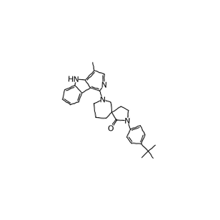 Cc1cnc(N2CCCC3(CCN(c4ccc(C(C)(C)C)cc4)C3=O)C2)c2c1[nH]c1ccccc12